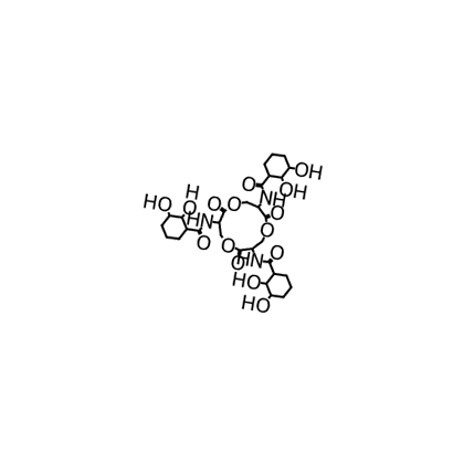 O=C1OCC(NC(=O)C2CCCC(O)C2O)C(=O)OCC(NC(=O)C2CCCC(O)C2O)C(=O)OCC1NC(=O)C1CCCC(O)C1O